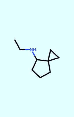 CCNC1CCCC12CC2